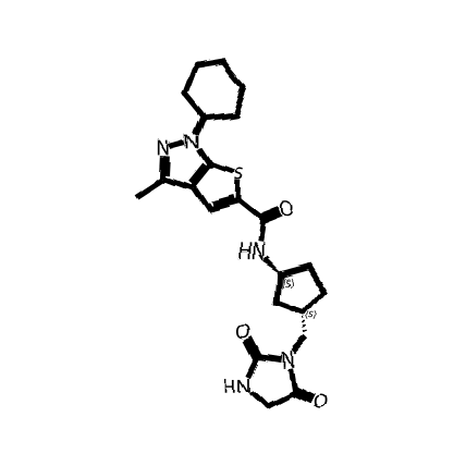 Cc1nn(C2CCCCC2)c2sc(C(=O)N[C@H]3CC[C@H](CN4C(=O)CNC4=O)C3)cc12